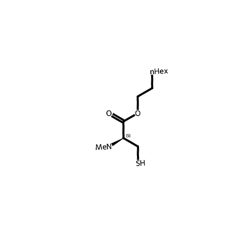 CCCCCCCCOC(=O)[C@@H](CS)NC